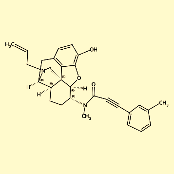 C=CCN1CC[C@]23c4c5ccc(O)c4O[C@H]2[C@H](N(C)C(=O)C#Cc2cccc(C)c2)CC[C@H]3[C@H]1C5